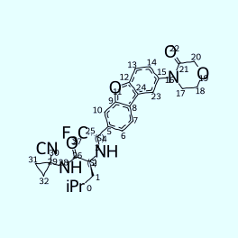 CC(C)C[C@H](N[C@@H](c1ccc2c(c1)oc1ccc(N3CCOCC3=O)cc12)C(F)(F)F)C(=O)NC1(C#N)CC1